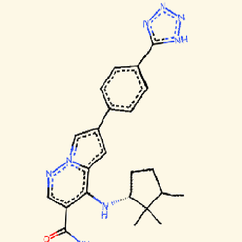 CC1CC[C@@H](Nc2c(C(N)=O)cnn3cc(-c4ccc(-c5nnn[nH]5)cc4)cc23)C1(C)C